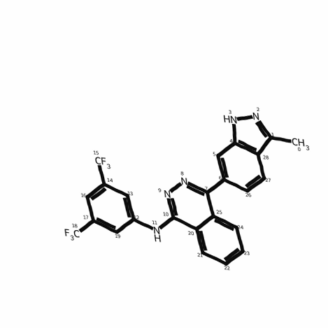 Cc1n[nH]c2cc(-c3nnc(Nc4cc(C(F)(F)F)cc(C(F)(F)F)c4)c4ccccc34)ccc12